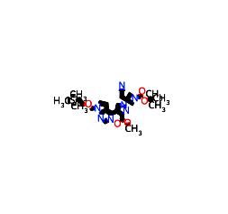 COC(=O)c1nn(C2(CC#N)CN(C(=O)OC(C)(C)C)C2)cc1-c1ncnc2c1ccn2COCC[Si](C)(C)C